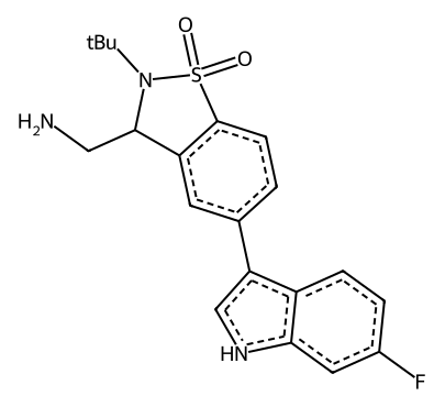 CC(C)(C)N1C(CN)c2cc(-c3c[nH]c4cc(F)ccc34)ccc2S1(=O)=O